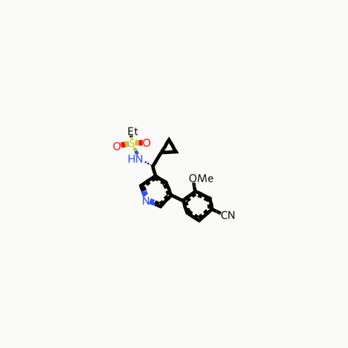 CCS(=O)(=O)N[C@@H](c1cncc(-c2ccc(C#N)cc2OC)c1)C1CC1